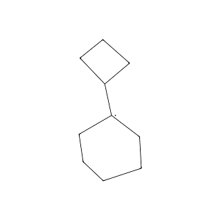 C1CC[C](C2CCC2)CC1